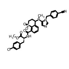 COC(=O)[C@H](Cc1ccc(Cl)cc1)NC(=O)c1cccc2c1S(=O)(=O)CCC2N(C)c1cncn1Cc1ccc(C#N)cc1